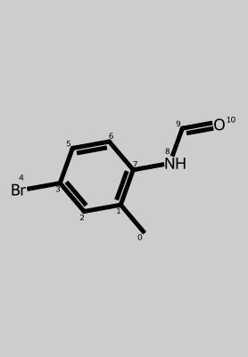 Cc1cc(Br)ccc1NC=O